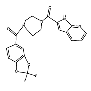 O=C(c1ccc2c(c1)OC(F)(F)O2)N1CCN(C(=O)c2cc3cccnc3[nH]2)CC1